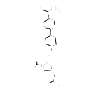 CC(=O)N1C[C@H](CC(=O)O)C[C@H]1COc1ccc(-c2ncc(C(=N)N)cn2)cc1